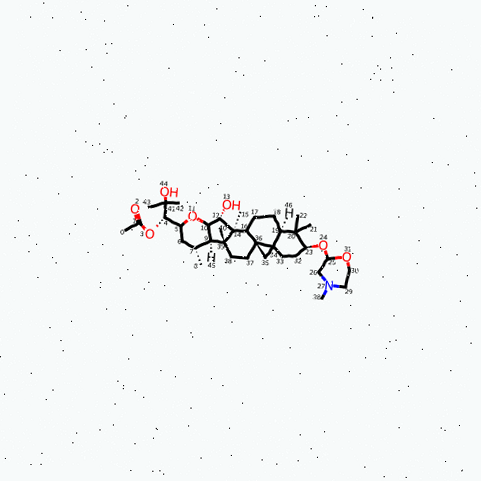 CC(=O)O[C@@H](C1C[C@@H](C)[C@H]2C(O1)[C@H](O)[C@@]1(C)C3CC[C@H]4C(C)(C)[C@@H](OC5CN(C)CCO5)CCC45C[C@@]35CC[C@]21C)C(C)(C)O